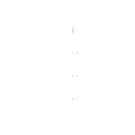 CC[C@@H](C)B(C)COCOCOC